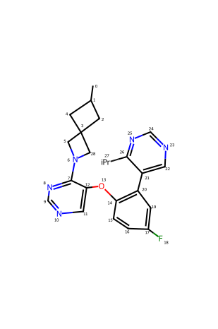 CC1CC2(C1)CN(c1ncncc1Oc1ccc(F)cc1-c1cncnc1C(C)C)C2